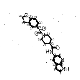 O=C(Nc1cnc2[nH]ccc2c1)C1CCN(S(=O)(=O)c2ccc3c(c2)CCO3)CC1